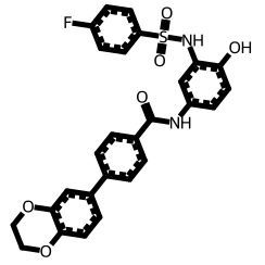 O=C(Nc1ccc(O)c(NS(=O)(=O)c2ccc(F)cc2)c1)c1ccc(-c2ccc3c(c2)OCCO3)cc1